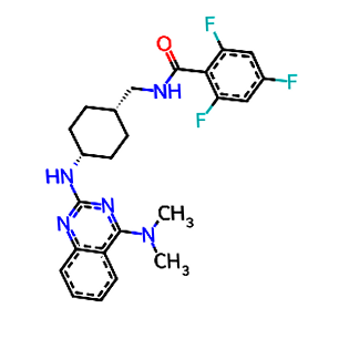 CN(C)c1nc(N[C@H]2CC[C@@H](CNC(=O)c3c(F)cc(F)cc3F)CC2)nc2ccccc12